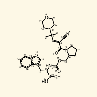 CC(C)(C=C(C#N)C(=O)N1CCCC1COC(=O)N[C@@H](Cc1coc2ccccc12)B(O)O)N1CCOCC1